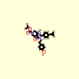 COc1ccc(CCN2C(=O)C3(CCN(C(=O)OC(C)C)CC3)N(C)C2c2ccc(C3CC3)cc2)cc1